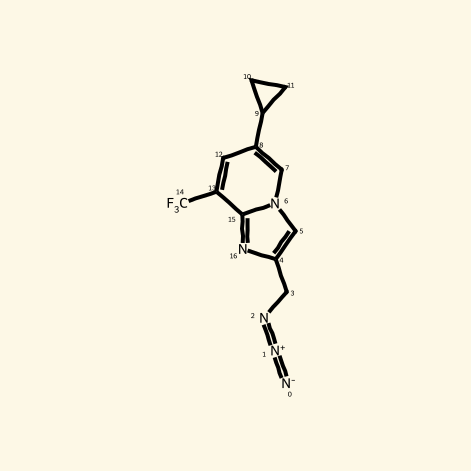 [N-]=[N+]=NCc1cn2cc(C3CC3)cc(C(F)(F)F)c2n1